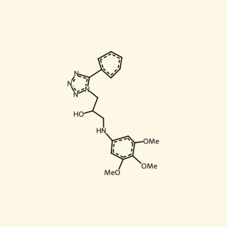 COc1cc(NCC(O)Cn2nnnc2-c2ccccc2)cc(OC)c1OC